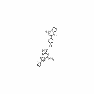 Nc1ccccc1NC(=O)c1ccc(OCCNc2nc(N)n3nc(-c4ccco4)nc3n2)cc1